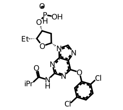 CC[C@H]1O[C@@H](n2cnc3c(Oc4cc(Cl)ccc4Cl)nc(NC(=O)C(C)C)nc32)C[C@H]1O[PH](=O)O